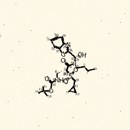 CCCCN(C(=O)[C@@H](CNC(=O)OC(C)(C)C)S(=O)(=O)CC1CC1)[C@@H](O)c1nc2ccccc2o1